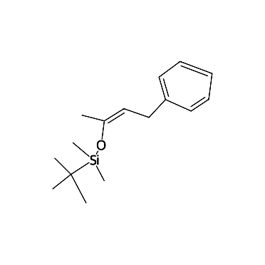 CC(=CCc1ccccc1)O[Si](C)(C)C(C)(C)C